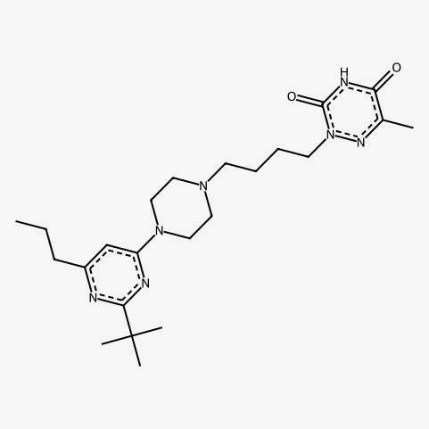 CCCc1cc(N2CCN(CCCCn3nc(C)c(=O)[nH]c3=O)CC2)nc(C(C)(C)C)n1